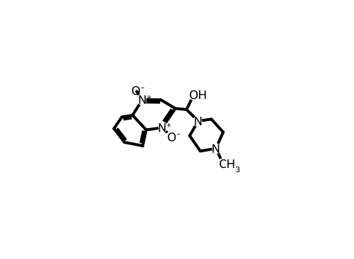 CN1CCN(C(O)c2c[n+]([O-])c3ccccc3[n+]2[O-])CC1